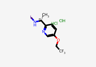 C[C@@H](NI)c1ccc(OCC(F)(F)F)cn1.Cl.Cl